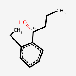 CCC[C@@H](O)c1ccccc1CC